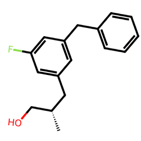 C[C@H](CO)Cc1cc(F)cc(Cc2ccccc2)c1